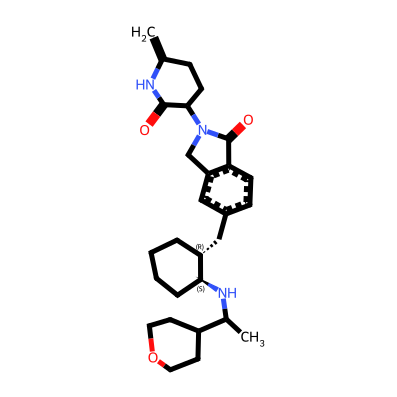 C=C1CCC(N2Cc3cc(C[C@H]4CCCC[C@@H]4NC(C)C4CCOCC4)ccc3C2=O)C(=O)N1